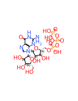 Nc1nc2c(c(=O)[nH]1)N=C[N+]2([C@@H]1O[C@H](CO)[C@H](O)[C@H]1O)[C@@H]1O[C@H](COP(=O)(O)OP(=O)(O)OP(=O)(O)O)[C@@H](O)[C@H]1O